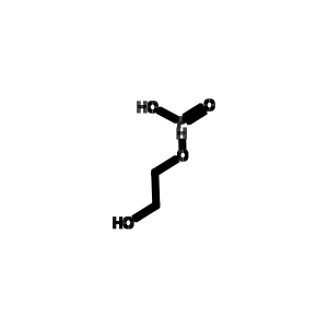 O=[PH](O)OCCO